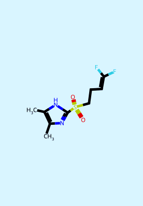 Cc1nc(S(=O)(=O)CCC=C(F)F)[nH]c1C